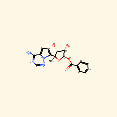 N#C[C@@]1(c2ccc3c(N)ncnn23)O[C@H](OC(=O)c2ccccc2)[C@@H](O)[C@H]1O